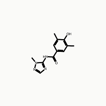 Cc1cc(C(=O)Nc2ncnn2C)cc(C)c1O